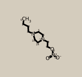 CCCCN1CCN(CCO[N+](=O)[O-])CC1